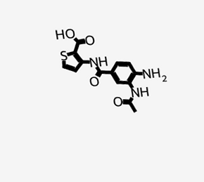 CC(=O)Nc1cc(C(=O)Nc2ccsc2C(=O)O)ccc1N